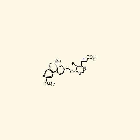 COc1ccc(F)c(-c2ccc(COc3ncnc(/C=C/C(=O)O)c3F)nc2CC(C)(C)C)c1